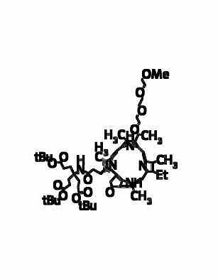 CCC1=C(C)c2cc3[nH]c(cc4nc(c5c6[nH]c(cc1n2)c(C)c6C(=O)C5)[C@@H](CCC(=O)NC(CCC(=O)OC(C)(C)C)(CCC(=O)OC(C)(C)C)CCC(=O)OC(C)(C)C)[C@@H]4C)c(C)c3C(C)OCCOCCOCCOC